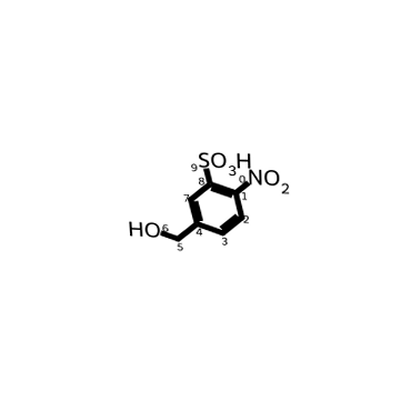 O=[N+]([O-])c1ccc(CO)cc1S(=O)(=O)O